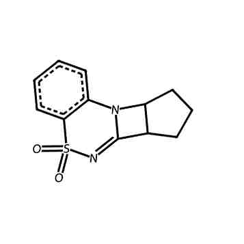 O=S1(=O)N=C2C3CCCC3N2c2ccccc21